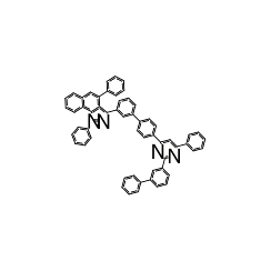 c1ccc(-c2cccc(-c3nc(-c4ccccc4)cc(-c4ccc(-c5cccc(-c6nn(-c7ccccc7)c7c6c(-c6ccccc6)cc6ccccc67)c5)cc4)n3)c2)cc1